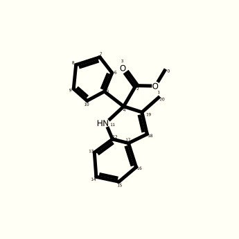 COC(=O)C1(c2ccccc2)Nc2ccccc2C=C1C